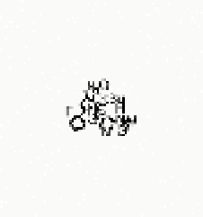 CN(Cc1cc(-c2ccccc2F)n(S(=O)(=O)c2cncc(NS(C)(=O)=O)c2)c1)C(=O)OC(C)(C)C